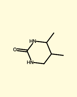 CC1CNC(=O)NC1C